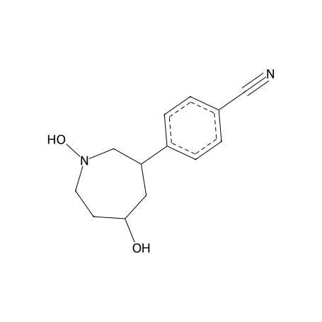 N#Cc1ccc(C2CC(O)CCN(O)C2)cc1